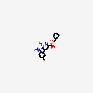 Cc1ccc2[nH]cc(CC(N)C(=O)OCc3ccccc3)c2c1